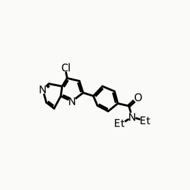 CCN(CC)C(=O)c1ccc(-c2cc(Cl)c3cnccc3n2)cc1